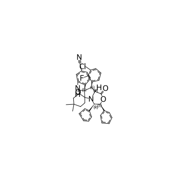 CC1(C)CCC2(CC1)N1[C@H](c3ccccc3)[C@H](c3ccccc3)OC(=O)[C@H]1[C@H](c1cccc(Cl)c1F)[C@@]21C(=O)Nc2cc(C#N)ccc21